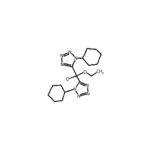 CCOC([O])(c1nnnn1C1CCCCC1)c1nnnn1C1CCCCC1